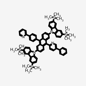 C[Si](C)(C)c1ccc2c(c1)c1cc([Si](C)(C)C)ccc1n2-c1ccc2c(-c3ccc(-c4ccccc4)cn3)c3cc(-n4c5ccc([Si](C)(C)C)cc5c5cc([Si](C)(C)C)ccc54)ccc3c(-c3ccc(-c4ccccn4)cc3)c2c1